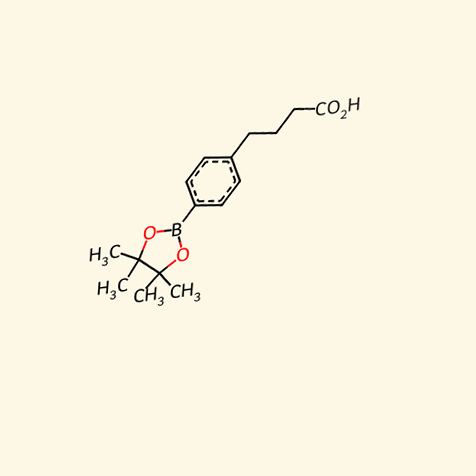 CC1(C)OB(c2ccc(CCCC(=O)O)cc2)OC1(C)C